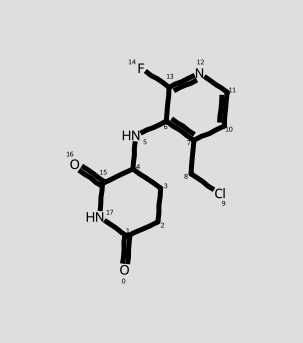 O=C1CCC(Nc2c(CCl)ccnc2F)C(=O)N1